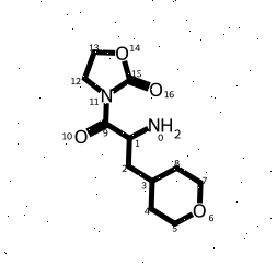 NC(CC1CCOCC1)C(=O)N1CCOC1=O